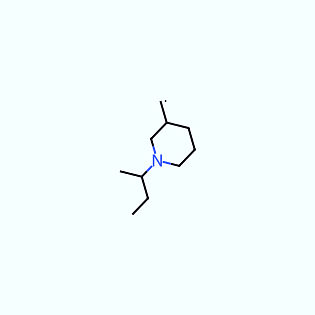 [CH2]C1CCCN(C(C)CC)C1